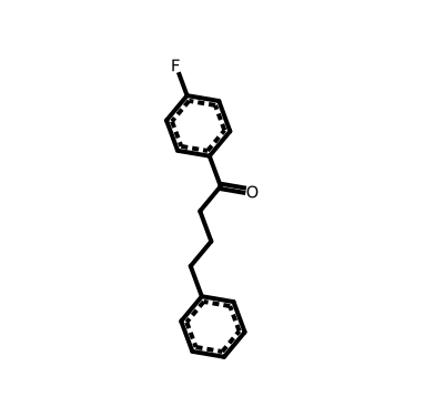 O=C(CCCc1ccccc1)c1ccc(F)cc1